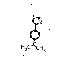 CC(C)c1ccc(-c2cs[c]n2)cc1